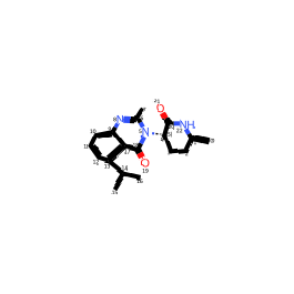 C=C1CC[C@H](n2c(C)nc3cccc(C(C)C)c3c2=O)C(=O)N1